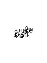 Cc1cc(Cl)nc(N2CCCC(NC(=O)c3[nH]c(=O)[nH]c(=O)c3N)C2)n1